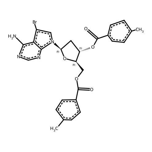 Cc1ccc(C(=O)OC[C@H]2O[C@@H](n3cc(Br)c4c(N)ncnc43)C[C@@H]2OC(=O)c2ccc(C)cc2)cc1